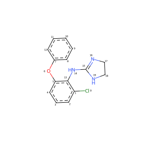 Clc1cccc(Oc2ccccc2)c1NC1=NCCN1